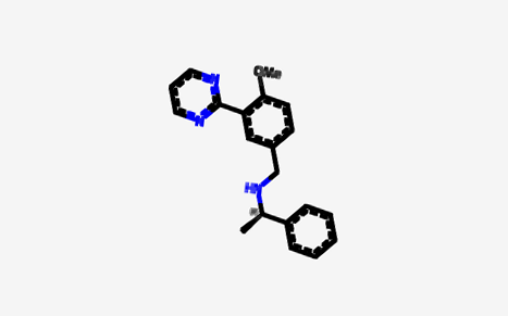 COc1ccc(CN[C@H](C)c2ccccc2)cc1-c1ncccn1